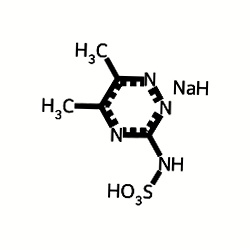 Cc1nnc(NS(=O)(=O)O)nc1C.[NaH]